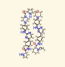 CN1CCCCC1C(=O)Nc1ccc(-c2ccnc(Nc3ccc(N4CCOCC4)cc3)n2)cc1.O=C(Nc1ccc(-c2ccnc(Nc3ccc(N4CCN(C(=O)[C@@H]5CCCN5)CC4)cc3)n2)cc1)[C@H]1CCCN1